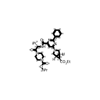 CCCOC(=O)N1CCN(C(=O)[C@@H](NC(=O)c2cc(N3C[C@@H]4[C@H](C3)[C@@H]4C(=O)OCC)nc(-c3ccccc3)n2)C(C)C)CC1